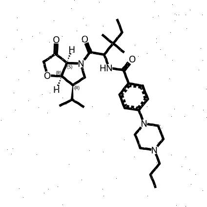 CCCN1CCN(c2ccc(C(=O)NC(C(=O)N3C[C@@H](C(C)C)[C@H]4OCC(=O)[C@H]43)C(C)(C)CC)cc2)CC1